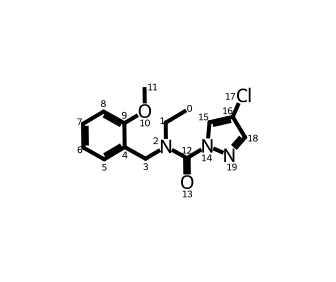 CCN(Cc1ccccc1OC)C(=O)n1cc(Cl)cn1